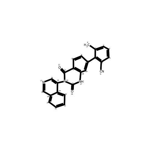 Cc1cccc(C#N)c1-c1ccc2c(=O)n(-c3cncc4ccccc34)c(=O)[nH]c2c1